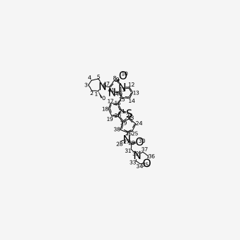 C[C@H]1CCCCN1c1cc(=O)n2cccc(-c3cccc4c3sc3ccc(N(C)C(=O)CN5CCOCC5)cc34)c2n1